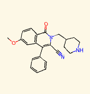 COc1ccc2c(=O)n(CC3CCNCC3)c(C#N)c(-c3ccccc3)c2c1